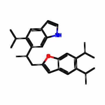 CC(C)c1cc2cc(CC(C)c3cc4[nH]ccc4cc3C(C)C)oc2cc1C(C)C